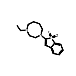 CCN1CCCCN(C2=Cc3ccccc3S2(=O)=O)CC1